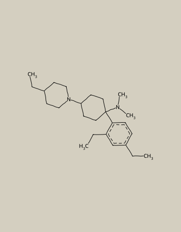 CCc1ccc(C2(N(C)C)CCC(N3CCC(CC)CC3)CC2)c(CC)c1